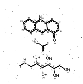 CC(=O)O.CNC[C@H](O)[C@@H](O)[C@H](O)[C@H](O)CO.O=c1cccc2[nH]c3ccccc3cc1-2